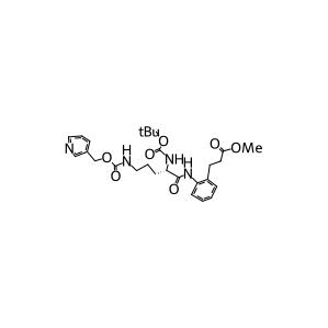 COC(=O)CCc1ccccc1NC(=O)[C@H](CCCNC(=O)OCc1cccnc1)NC(=O)OC(C)(C)C